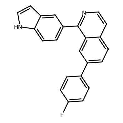 Fc1ccc(-c2ccc3ccnc(-c4ccc5[nH]ccc5c4)c3c2)cc1